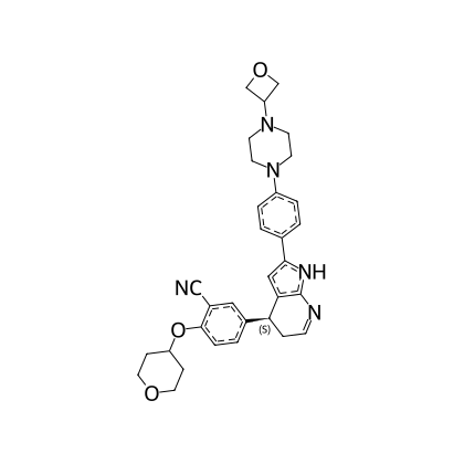 N#Cc1cc([C@@H]2CC=Nc3[nH]c(-c4ccc(N5CCN(C6COC6)CC5)cc4)cc32)ccc1OC1CCOCC1